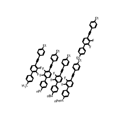 CCCCCc1ccc(-c2ccc(C#Cc3ccc(CC)cc3)c(F)c2F)cc1.CCCCc1ccc(-c2ccc(C#Cc3ccc(CC)cc3)c(F)c2F)cc1.CCCc1ccc(-c2ccc(C#Cc3ccc(CC)cc3)c(F)c2F)cc1.CCc1ccc(C#Cc2ccc(-c3ccc(C)cc3)c(F)c2F)cc1.CCc1ccc(C#Cc2ccc(-c3ccc(CC)cc3)c(F)c2F)cc1